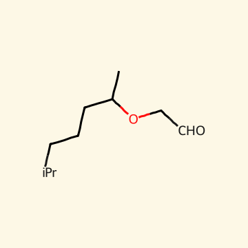 CC(C)CCCC(C)OCC=O